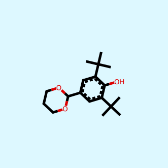 CC(C)(C)c1cc(C2OCCCO2)cc(C(C)(C)C)c1O